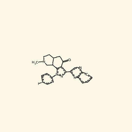 CN1CCC2CC(=O)c3c(-c4cnc5ccccc5n4)nn(-c4ccc(I)cc4)c3C2C1